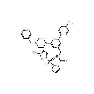 O=C(NCc1cc(-c2ccc(C(F)(F)F)cc2)nc(N2CCN(Cc3ccccc3)CC2)c1)[C@@H]1C=CCN1S(=O)(=O)c1ccc(Cl)s1